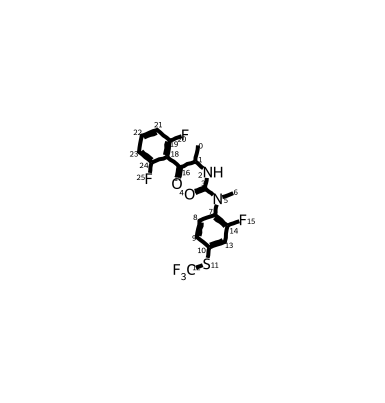 CC(NC(=O)N(C)c1ccc(SC(F)(F)F)cc1F)C(=O)c1c(F)cccc1F